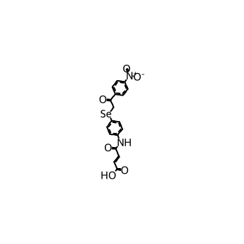 O=C(O)C=CC(=O)Nc1ccc([Se]CC(=O)c2ccc([N+](=O)[O-])cc2)cc1